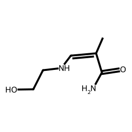 CC(=CNCCO)C(N)=O